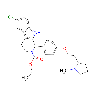 CCOC(=O)N1CCc2c([nH]c3ccc(Cl)cc23)C1c1ccc(OCCC2CCCN2C)cc1